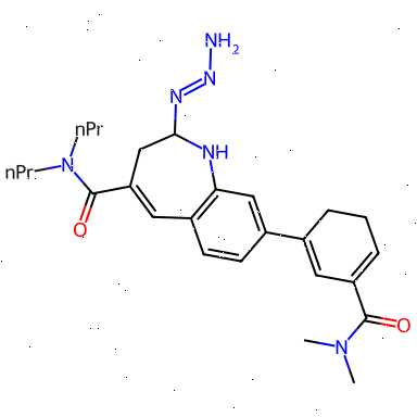 CCCN(CCC)C(=O)C1=Cc2ccc(C3=CC(C(=O)N(C)C)=CCC3)cc2NC(N=NN)C1